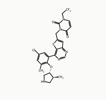 Cc1cc(Cl)cc(-c2ncnc3cc(Cn4c(=O)ccn(CC(F)(F)F)c4=O)sc23)c1O[C@H]1CNC[C@@H]1C